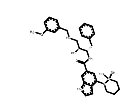 COc1cccc(CNC[C@H](O)[C@H](Cc2ccccc2)NC(=O)c2cc(N3CCCCS3(O)O)c3cc[nH]c3c2)c1